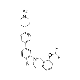 CC(=O)N1CCC(c2ccc(-c3ccc4nc(C)n(Cc5ccccc5OC(F)F)c4c3)cn2)CC1